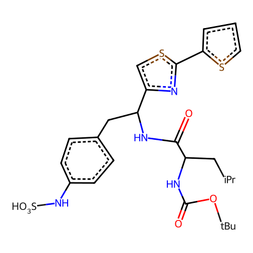 CC(C)CC(NC(=O)OC(C)(C)C)C(=O)NC(Cc1ccc(NS(=O)(=O)O)cc1)c1csc(-c2cccs2)n1